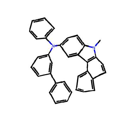 Cn1c2ccc(N(c3ccccc3)c3cccc(-c4ccccc4)c3)cc2c2c3ccccc3ccc21